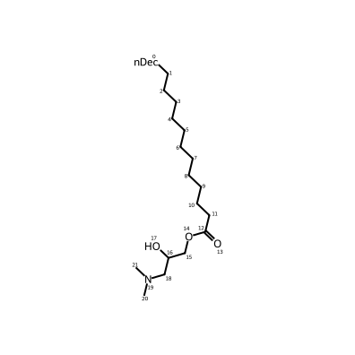 CCCCCCCCCCCCCCCCCCCCCC(=O)OCC(O)CN(C)C